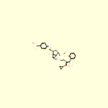 COC(=O)c1cc(F)c2nc(C3CC4CN(CCc5c(-c6ccccc6OC(F)(F)F)noc5C5CC5)CC5CC4[C@@H]53)sc2c1